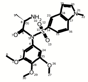 COc1cc(N(C(=O)[C@H](C)N)S(=O)(=O)c2ccc3c(ccn3C)c2)cc(OC)c1OC